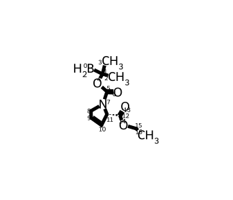 BC(C)(C)OC(=O)N1CC=C[C@H]1C(=O)OCC